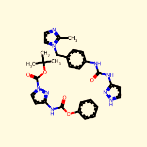 CC(C)(C)OC(=O)n1ccc(NC(=O)Oc2ccccc2)n1.Cc1nccn1Cc1ccc(NC(=O)Nc2cc[nH]n2)cc1